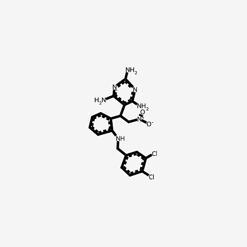 Nc1nc(N)c(C(C[N+](=O)[O-])c2ccccc2NCc2ccc(Cl)c(Cl)c2)c(N)n1